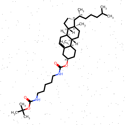 CC(C)CCC[C@@H](C)[C@H]1CC[C@H]2[C@@H]3CC=C4C[C@H](OC(=O)NCCCCCNC(=O)OC(C)(C)C)CC[C@]4(C)[C@H]3CC[C@]12C